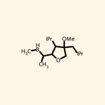 CBC(C)C1OCC(CC(C)C)(OC)C1C(C)C